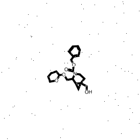 O=C(OCc1ccccc1)N1CCC2(CO)CC2C1COC1CCCCO1